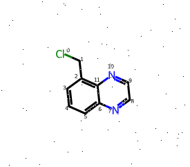 ClCc1cccc2nccnc12